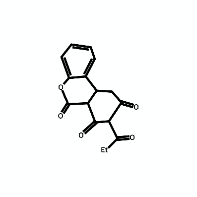 CCC(=O)C1C(=O)CC2c3ccccc3OC(=O)C2C1=O